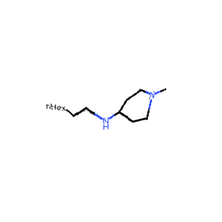 CCCCCCCCNC1CCN(C)CC1